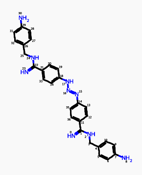 N=C(NCc1ccc(N)cc1)c1ccc(/N=N/Nc2ccc(C(=N)NCc3ccc(N)cc3)cc2)cc1